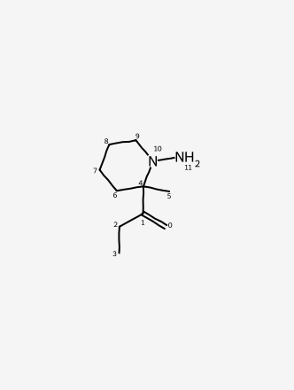 C=C(CC)C1(C)CCCCN1N